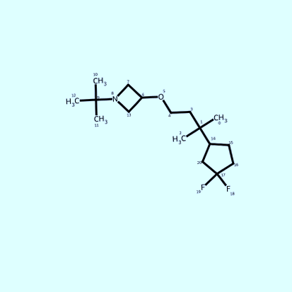 CC(C)(CCOC1CN(C(C)(C)C)C1)C1CCC(F)(F)C1